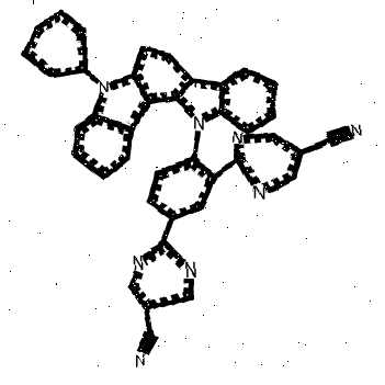 N#Cc1cnc(-c2ccc(-n3c4ccccc4c4ccc5c(c6ccccc6n5-c5ccccc5)c43)c(-c3ncc(C#N)cn3)c2)nc1